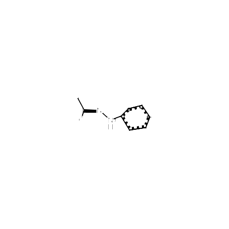 C/C(Cl)=N/Nc1ccccc1